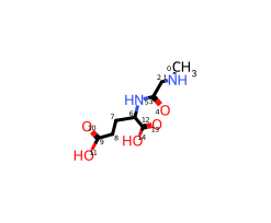 CNCC(=O)NC(CCC(=O)O)C(=O)O